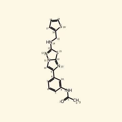 CC(=O)Nc1cccc(-c2cn3nc(NCc4cccs4)sc3n2)c1